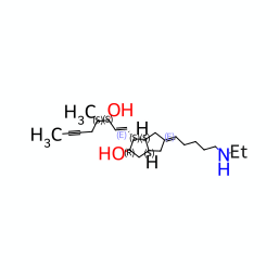 CC#CC[C@H](C)[C@H](O)/C=C/[C@@H]1[C@H]2C/C(=C/CCCCNCC)C[C@H]2C[C@H]1O